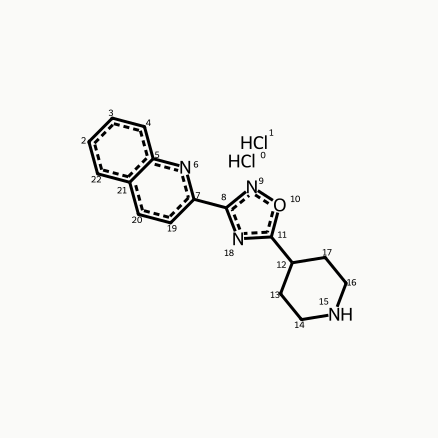 Cl.Cl.c1ccc2nc(-c3noc(C4CCNCC4)n3)ccc2c1